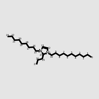 CCCCCCCCCCCN1C=CN(CCCCCCCCC)C1CCC